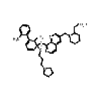 Cc1ccccc1C1=CC=CC(Nc2nccc3cc(CN4CCCCC4CC(=O)O)cnc23)(OCCCN2CCCC2)C1C